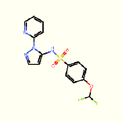 O=S(=O)(Nc1ccnn1-c1ccccn1)c1ccc(OC(F)F)cc1